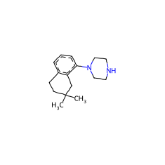 CC1(C)CCc2cccc(N3CCNCC3)c2C1